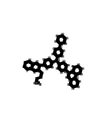 C=C/C=C\c1cc2ccccc2cc1-c1ccc(N(c2ccc(-c3ccccc3)cc2)c2ccc(-c3cc4ccccc4c4ccccc34)cc2)cc1